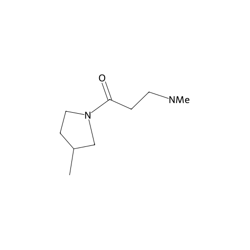 CNCCC(=O)N1CCC(C)C1